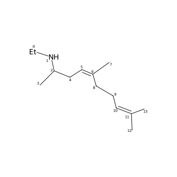 CCNC(C)C/C=C(/C)CCC=C(C)C